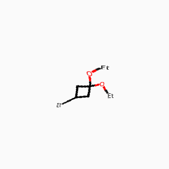 CCOC1(OCC)CC(CC)C1